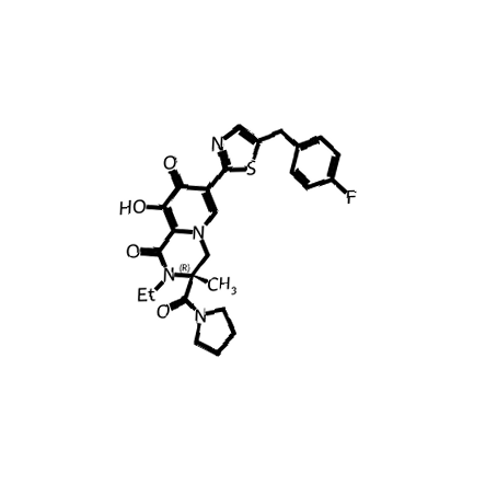 CCN1C(=O)c2c(O)c(=O)c(-c3ncc(Cc4ccc(F)cc4)s3)cn2C[C@]1(C)C(=O)N1CCCC1